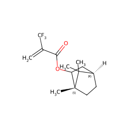 C=C(C(=O)OC1C[C@H]2CC[C@@]1(C)C2(C)C)C(F)(F)F